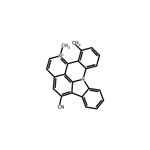 Cc1cccc2c1c1c3c(cc[n+]1C)cc(C#N)c1c4ccccc4n2c13